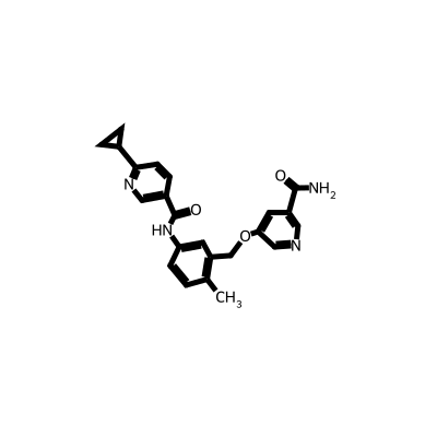 Cc1ccc(NC(=O)c2ccc(C3CC3)nc2)cc1COc1cncc(C(N)=O)c1